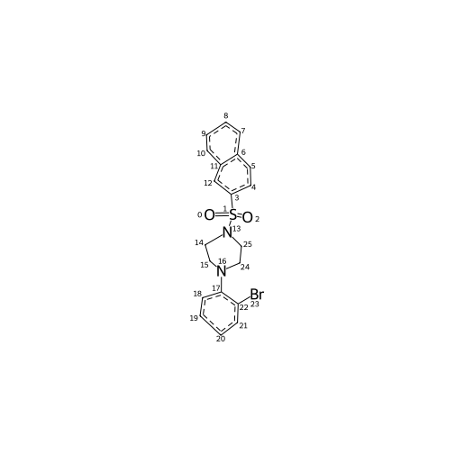 O=S(=O)(c1ccc2ccccc2c1)N1CCN(c2ccccc2Br)CC1